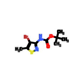 Cc1snc(NC(=O)OC(C)(C)C)c1Br